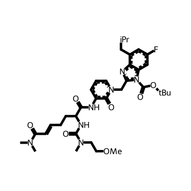 COCCN(C)C(=O)NC(CC/C=C/C(=O)N(C)C)C(=O)Nc1cccn(Cc2nc3c(CC(C)C)cc(F)cc3n2C(=O)OC(C)(C)C)c1=O